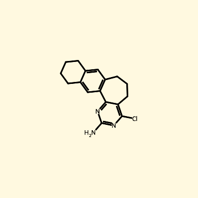 Nc1nc(Cl)c2c(n1)-c1cc3c(cc1CCC2)CCCC3